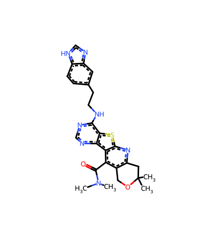 CN(C)C(=O)c1c2c(nc3sc4c(NCCc5ccc6[nH]cnc6c5)ncnc4c13)CC(C)(C)OC2